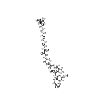 C[C@H](CCC(=O)N1CCC(CCC(=O)NCCOCCOCCOCCOP(=O)(O)C(C)(C)C)CC1)C1CCC2C3C(C[C@H](O)[C@@]21C)[C@@]1(C)CC[C@@H](O)CC1C[C@H]3O